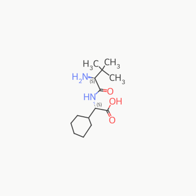 CC(C)(C)[C@H](N)C(=O)N[C@H](C(=O)O)C1CCCCC1